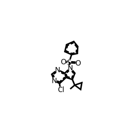 CC1(c2cn(S(=O)(=O)c3ccccc3)c3ncnc(Cl)c23)CC1